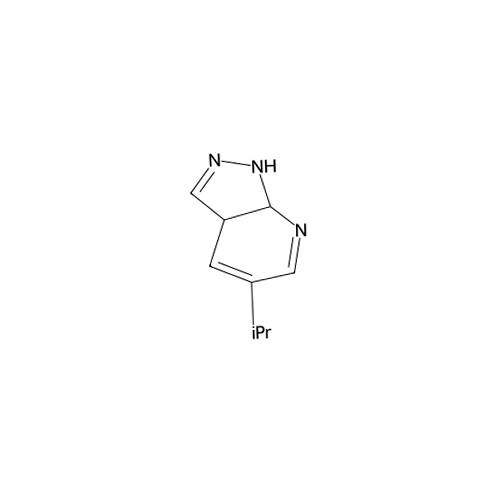 CC(C)C1=CC2C=NNC2N=C1